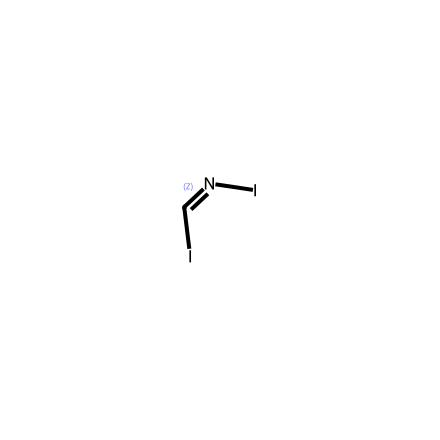 I/C=N\I